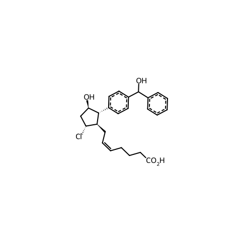 O=C(O)CCC/C=C\C[C@@H]1[C@@H](c2ccc(C(O)c3ccccc3)cc2)[C@H](O)C[C@H]1Cl